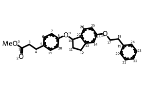 COC(=O)CCc1ccc(OC2CCc3cc(OCCc4ccccc4)ccc32)cc1